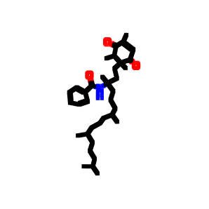 CC1=CC(=O)C(C)(CCC(C)(CCCC(C)CCCC(C)CCCC(C)C)NC(=O)c2ccccc2)C(C)C1=O